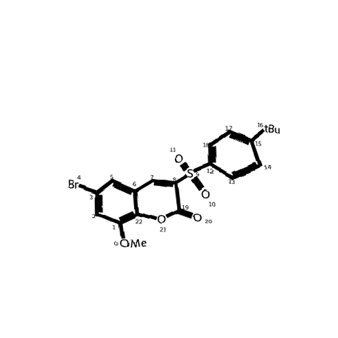 COc1cc(Br)cc2cc(S(=O)(=O)c3ccc(C(C)(C)C)cc3)c(=O)oc12